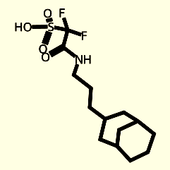 O=C(NCCCC1CC2CCCC(C1)C2)C(F)(F)S(=O)(=O)O